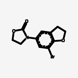 O=C1OCCN1c1cc(Br)c2c(c1)CCO2